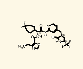 CCc1ncoc1C(=O)N[C@H](C(=O)Nc1cc(C[C@H]2C[C@@H](C(F)(F)F)NC2=O)ccn1)C1CCC(F)(F)CC1